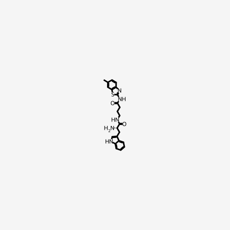 Cc1ccc2nc(NC(=O)CCCNC(=O)[C@@H](N)Cc3c[nH]c4ccccc34)sc2c1